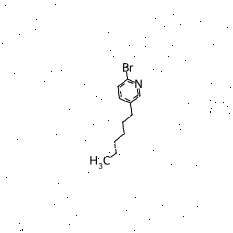 CCCCCCc1ccc(Br)nc1